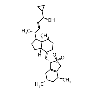 C[C@@H]1CC2=C(CS(=O)(=O)[C@H]2/C=C2\CCC[C@]3(C)C([C@H](C)/C=C/[C@H](O)C4CC4)CC[C@@H]23)[C@@H](C)C1